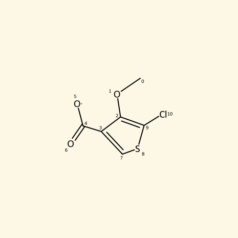 COc1c(C([O])=O)csc1Cl